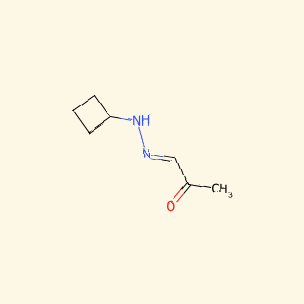 CC(=O)C=NNC1CCC1